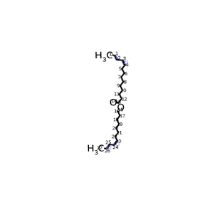 C/C=C/C=C\CCCCCCCCC(=O)OCCCCCCC/C=C\C=C\C